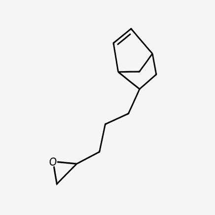 C1=CC2CC1CC2CCCC1CO1